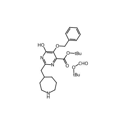 CC(C)(C)OC(=O)c1nc(CC2CCCNCC2)nc(O)c1OCc1ccccc1.CC(C)(C)OC=O